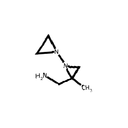 CC1(CN)CN1N1CC1